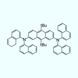 CC(C)(C)c1c2ccc(N(c3cccc4c3CCC=C4)c3cccc4ccccc34)cc2c(C(C)(C)C)c2cc(N(c3cccc4ccccc34)c3cccc4ccccc34)ccc12